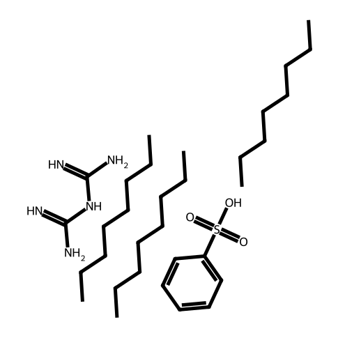 CCCCCCCC.CCCCCCCC.CCCCCCCC.N=C(N)NC(=N)N.O=S(=O)(O)c1ccccc1